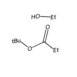 CCC(=O)OC(C)(C)C.CCO